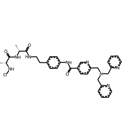 C[C@@H](NCl)C(=O)N[C@H](C)C(=O)NCCc1ccc(NC(=O)c2ccc(CN(Cc3ccccn3)Cc3ccccn3)nc2)cc1